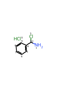 Cl.NC(Cl)c1ccccc1